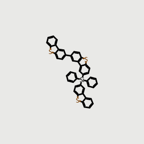 c1ccc([Si](c2ccccc2)(c2ccc3sc4ccccc4c3c2)c2ccc3sc4ccc(-c5ccc6sc7ccccc7c6c5)cc4c3c2)cc1